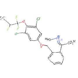 CO/N=C(/C(=O)O)c1ccccc1COc1cc(Cl)c(OC(F)(F)C(F)C(F)(F)F)c(Cl)c1